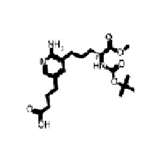 COC(=O)[C@H](CCCc1cc(CCCC(=O)O)cnc1N)NC(=O)OC(C)(C)C